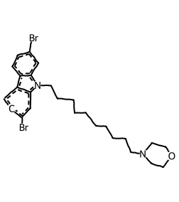 Brc1ccc2c3ccc(Br)cc3n(CCCCCCCCCCN3CCOCC3)c2c1